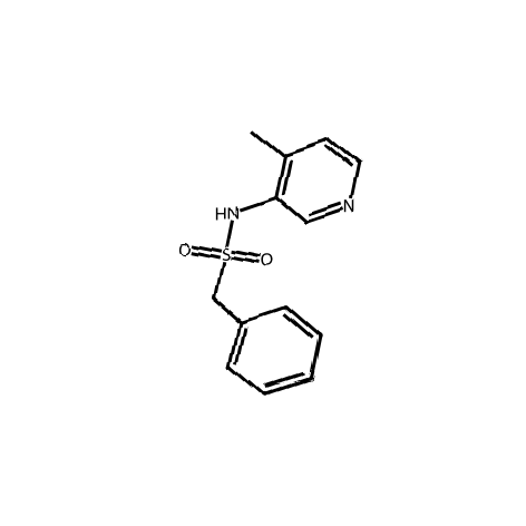 Cc1ccncc1NS(=O)(=O)Cc1ccccc1